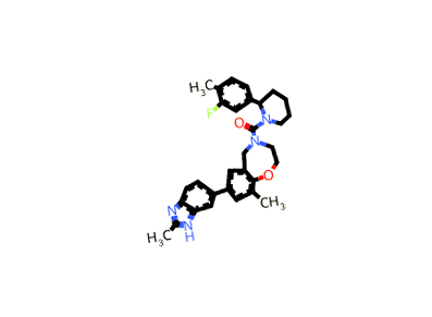 Cc1nc2ccc(-c3cc(C)c4c(c3)CN(C(=O)N3CCCCC3c3ccc(C)c(F)c3)CCO4)cc2[nH]1